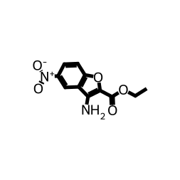 CCOC(=O)c1oc2ccc([N+](=O)[O-])cc2c1N